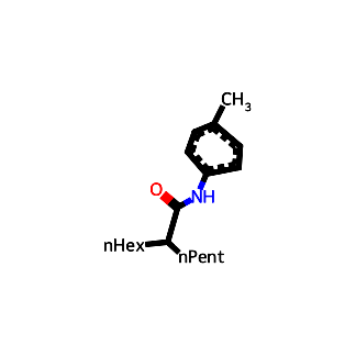 CCCCCCC(CCCCC)C(=O)Nc1ccc(C)cc1